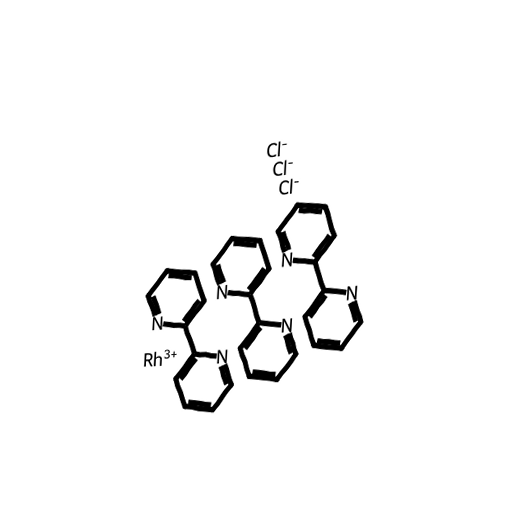 [Cl-].[Cl-].[Cl-].[Rh+3].c1ccc(-c2ccccn2)nc1.c1ccc(-c2ccccn2)nc1.c1ccc(-c2ccccn2)nc1